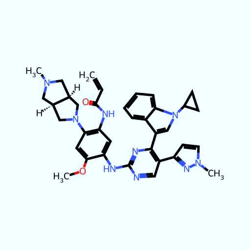 C=CC(=O)Nc1cc(Nc2ncc(-c3ccn(C)n3)c(-c3cn(C4CC4)c4ccccc34)n2)c(OC)cc1N1C[C@H]2CN(C)C[C@H]2C1